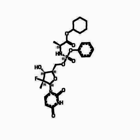 C[C@H](N[P@](=O)(OC[C@H]1O[C@@H](n2ccc(=O)[nH]c2=O)[C@](C)(F)[C@@H]1O)Oc1ccccc1)C(=O)OC1CCCCC1